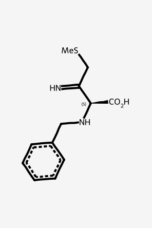 CSCC(=N)[C@H](NCc1ccccc1)C(=O)O